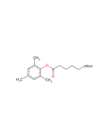 CCCCCCCCCCCCCC(=O)Oc1c(C)cc(C)cc1C